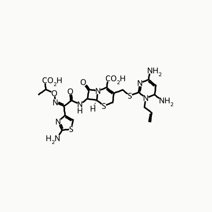 C=CCN1C(SCC2=C(C(=O)O)N3C(=O)C(NC(=O)/C(=N\OC(C)C(=O)O)c4csc(N)n4)[C@@H]3SC2)=NC(N)=CC1N